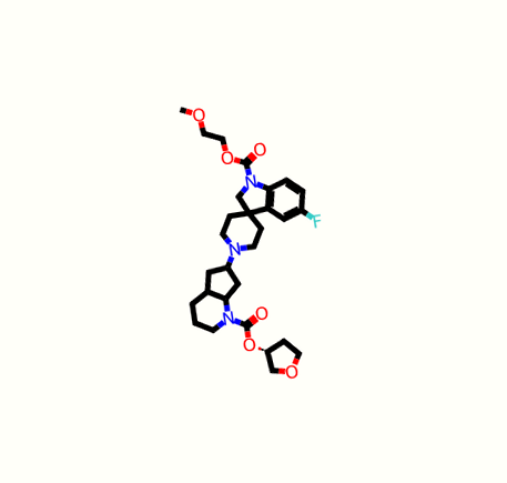 COCCOC(=O)N1CC2(CCN(C3CC4CCCN(C(=O)O[C@@H]5CCOC5)C4C3)CC2)c2cc(F)ccc21